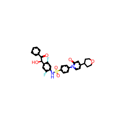 O=C(c1ccccc1)C(O)c1cc(F)c(NS(=O)(=O)c2ccc(-n3ccc(C4CCOCC4)cc3=O)cc2)cc1F